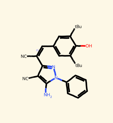 CC(C)(C)c1cc(/C=C(/C#N)c2nn(-c3ccccc3)c(N)c2C#N)cc(C(C)(C)C)c1O